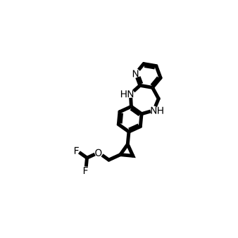 FC(F)OCC1CC1c1ccc2c(c1)NCc1cccnc1N2